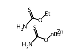 CCCCOC(N)=S.CCOC(N)=S.[Zn]